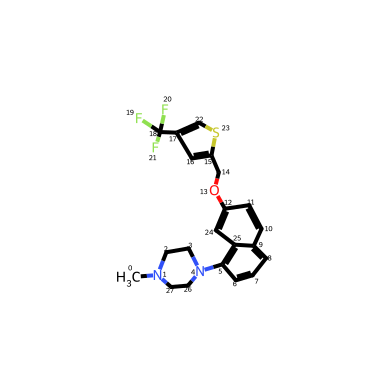 CN1CCN(c2cccc3ccc(OCc4cc(C(F)(F)F)cs4)cc23)CC1